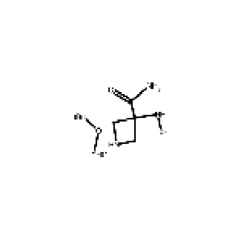 CC(C)(C)OC=O.CCNC1(C(N)=O)CNC1